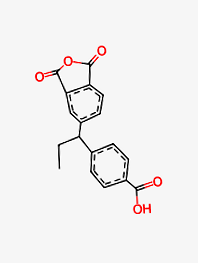 CCC(c1ccc(C(=O)O)cc1)c1ccc2c(c1)C(=O)OC2=O